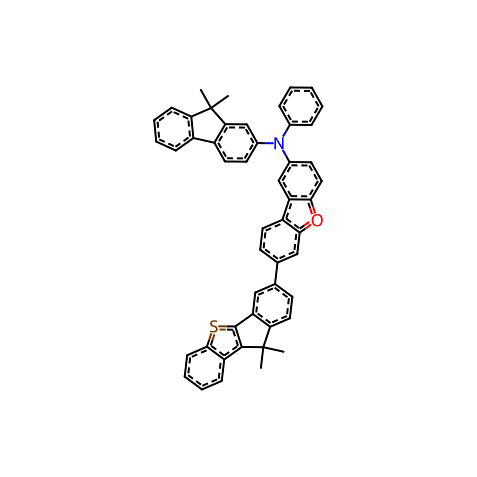 CC1(C)c2ccccc2-c2ccc(N(c3ccccc3)c3ccc4oc5cc(-c6ccc7c(c6)-c6sc8ccccc8c6C7(C)C)ccc5c4c3)cc21